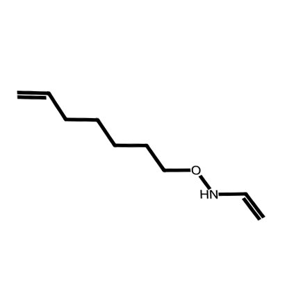 C=CCCCCCONC=C